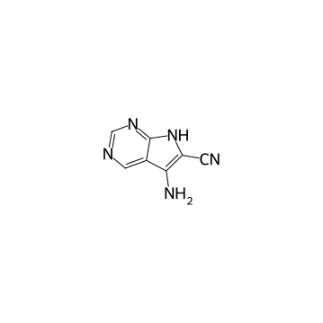 N#Cc1[nH]c2ncncc2c1N